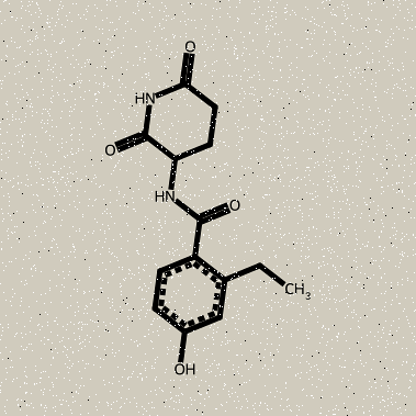 CCc1cc(O)ccc1C(=O)NC1CCC(=O)NC1=O